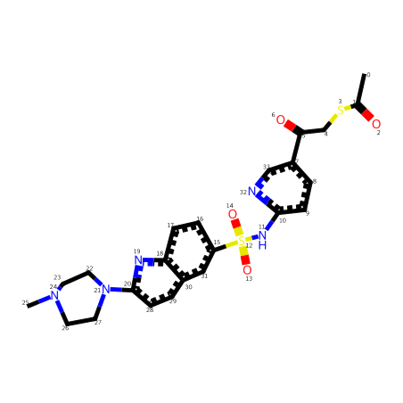 CC(=O)SCC(=O)c1ccc(NS(=O)(=O)c2ccc3nc(N4CCN(C)CC4)ccc3c2)nc1